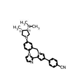 C[C@H]1CN(c2ccc3c(c2)Cn2cc(-c4ccc(C#N)cc4)cc2-c2nccn2-3)C[C@H]1N(C)C